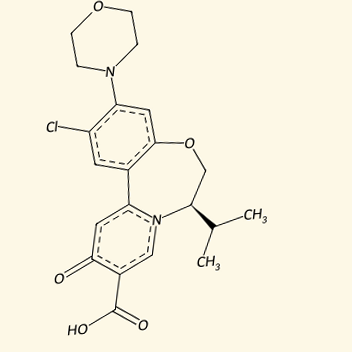 CC(C)[C@@H]1COc2cc(N3CCOCC3)c(Cl)cc2-c2cc(=O)c(C(=O)O)cn21